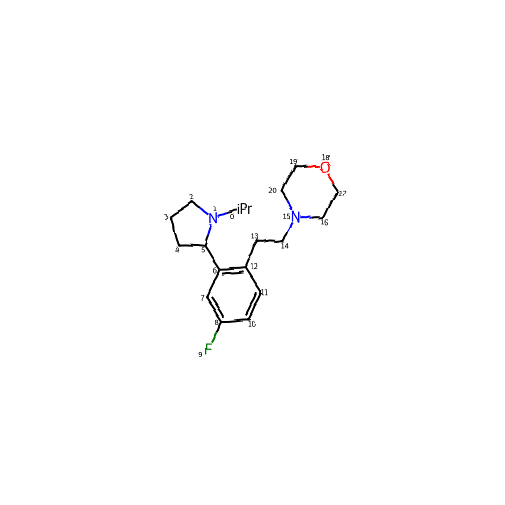 CC(C)N1CCCC1c1cc(F)ccc1CCN1CCOCC1